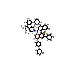 CC1(C)c2ccc(N(c3ccc(-c4ccc(C5CCCCC5)cc4)cc3)c3ccc4ccccc4c3-c3cccc4c3sc3ccccc34)cc2-c2c(C3CCCCC3)cccc21